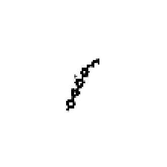 CC1CCC(c2ccc(-c3ccc(-c4ccc(CC=CC(I)I)cc4)c(F)c3)cc2)CC1